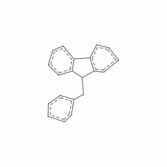 c1ccc(CC2c3ccccc3-c3ccccc32)cc1